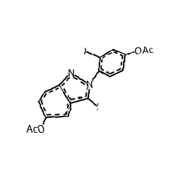 CC(=O)Oc1ccc(-n2nc3ccc(OC(C)=O)cc3c2I)c(I)c1